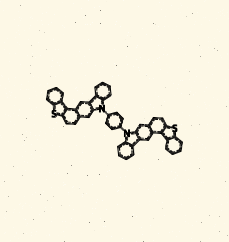 c1ccc2c(c1)sc1ccc3cc4c(cc3c12)c1ccccc1n4-c1ccc(-n2c3ccccc3c3cc4c(ccc5sc6ccccc6c54)cc32)cc1